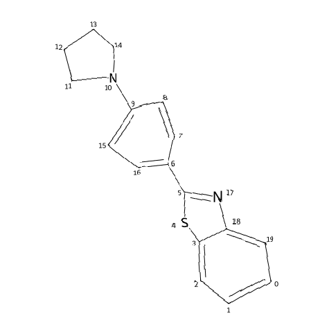 c1ccc2sc(-c3ccc(N4CCCC4)cc3)nc2c1